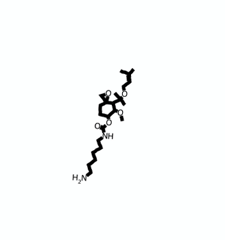 COC1C(OC(=O)NCCCCCCN)CCC2(CO2)C1C(C)(C)OCC=C(C)C